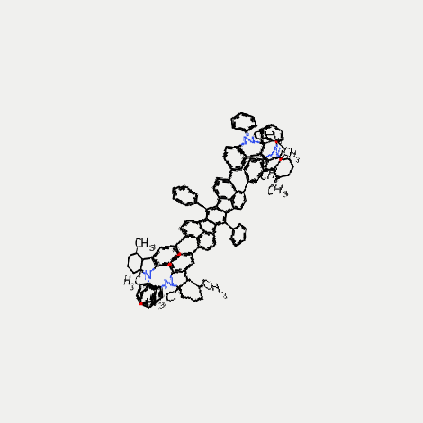 CC1CCCC2(C)C1c1cc(-c3ccc4c5c(-c6ccccc6)c6c7ccc(-c8ccc9c(c8)C8C(C)CCCC8(C)N9c8ccccc8)c8c(-c9ccc%10c(c9)C9C(C)CCCC9(C)N%10c9ccccc9)ccc(c6c(-c6ccccc6)c5c5ccc(-c6ccc9c(c6)C6C(C)CCCC6(C)N9c6ccccc6)c3c45)c87)ccc1N2c1ccccc1